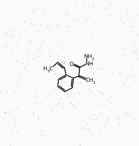 C=C(C(=O)NN)c1ccccc1/C=C\C